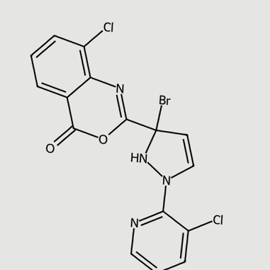 O=c1oc(C2(Br)C=CN(c3ncccc3Cl)N2)nc2c(Cl)cccc12